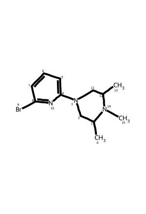 CC1CN(c2cccc(Br)n2)CC(C)N1C